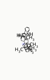 C=C(C)/C=C1/C2CC[C@H]3Cc4c([nH]c5ccccc45)[C@]3(C)[C@@]2(C)CC[C@]1(OC)OC(C)C